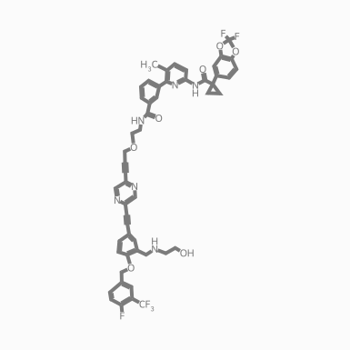 Cc1ccc(NC(=O)C2(c3ccc4c(c3)OC(F)(F)O4)CC2)nc1-c1cccc(C(=O)NCCOCC#Cc2cnc(C#Cc3ccc(OCc4ccc(F)c(C(F)(F)F)c4)c(CNCCO)c3)cn2)c1